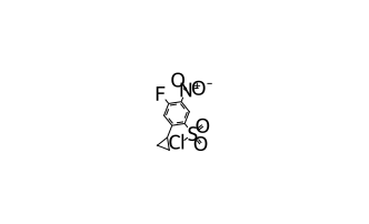 O=[N+]([O-])c1cc(S(=O)(=O)Cl)c(C2CC2)cc1F